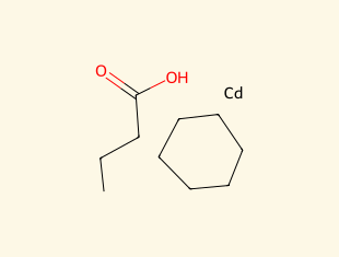 C1CCCCC1.CCCC(=O)O.[Cd]